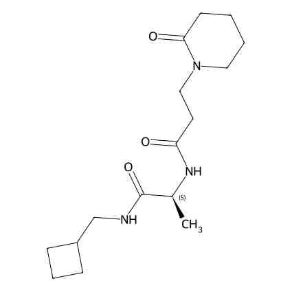 C[C@H](NC(=O)CCN1CCCCC1=O)C(=O)NCC1CCC1